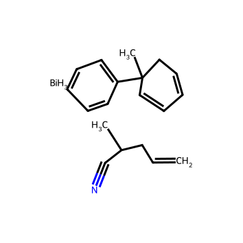 C=CCC(C)C#N.CC1(c2ccccc2)C=CC=CC1.[BiH3]